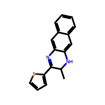 CC1Nc2cc3ccccc3cc2N=C1c1cccs1